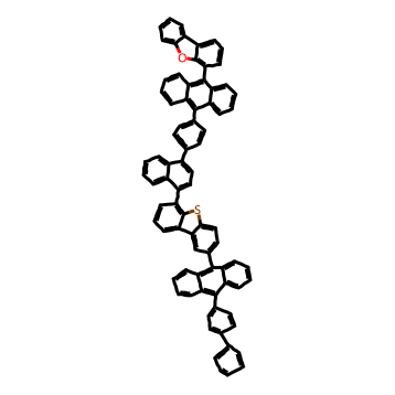 c1ccc(-c2ccc(-c3c4ccccc4c(-c4ccc5sc6c(-c7ccc(-c8ccc(-c9c%10ccccc%10c(-c%10cccc%11c%10oc%10ccccc%10%11)c%10ccccc9%10)cc8)c8ccccc78)cccc6c5c4)c4ccccc34)cc2)cc1